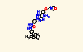 CC(C)(C)c1ccc(NC(=O)Nc2ccc(Nc3ncnc(N)c3C(=N)c3ccc(OCCN4CCOCC4)cc3)cc2)cc1